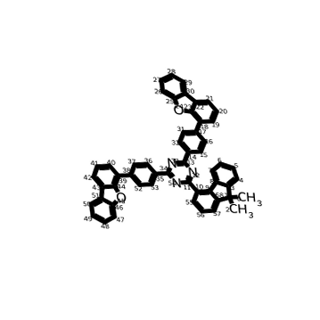 CC1(C)c2ccccc2-c2c(-c3nc(-c4ccc(-c5cccc6c5oc5ccccc56)cc4)nc(-c4ccc(-c5cccc6c5oc5ccccc56)cc4)n3)cccc21